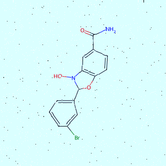 NC(=O)c1ccc2c(c1)N(O)C(c1cccc(Br)c1)O2